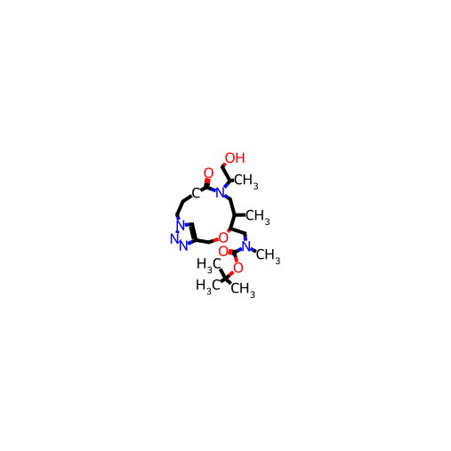 CC1CN(C(C)CO)C(=O)CCCn2cc(nn2)COC1CN(C)C(=O)OC(C)(C)C